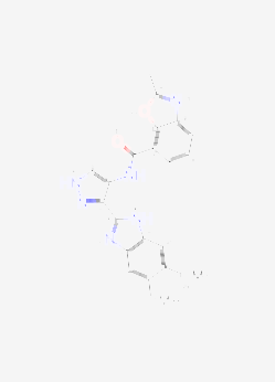 COc1cc2nc(-c3n[nH]cc3NC(=O)c3cccc4nc(C)oc34)[nH]c2cc1OC